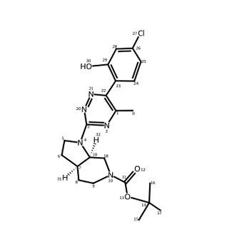 Cc1nc(N2CC[C@@H]3CCN(C(=O)OC(C)(C)C)C[C@@H]32)nnc1-c1ccc(Cl)cc1O